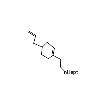 C=CCC1CC=C(CCCCCCCCC)CC1